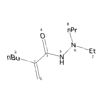 C=C(CCCC)C(=O)NN(CC)CCC